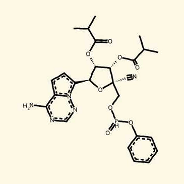 CC(C)C(=O)O[C@H]1[C@H](c2ccc3c(N)ncnn23)O[C@](C#N)(CO[PH](=O)Oc2ccccc2)[C@H]1OC(=O)C(C)C